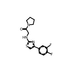 O=C(CNc1nc(-c2ccc(F)c(F)c2)cs1)N1CCCC1